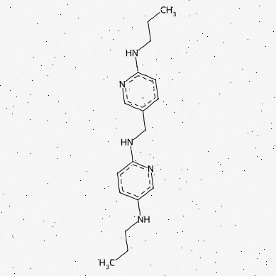 CCCNc1ccc(NCc2ccc(NCCC)nc2)nc1